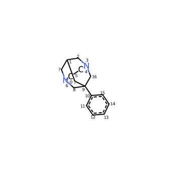 [CH]1C2CN3CCN(C2)CC1(c1ccccc1)C3